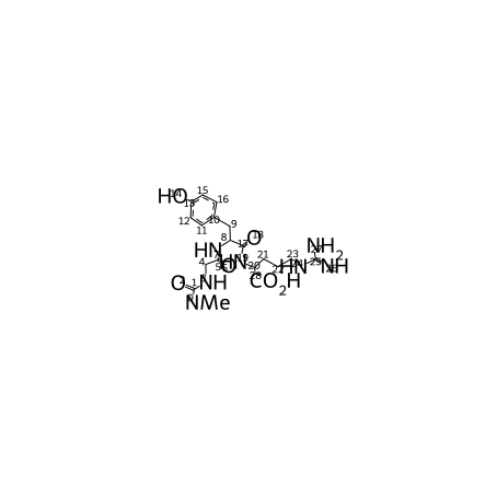 CNC(=O)NCC(=O)NC(Cc1ccc(O)cc1)C(=O)NC(CCCNC(=N)N)C(=O)O